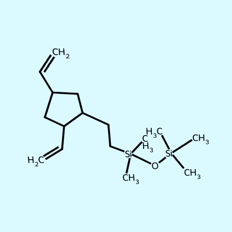 C=CC1CC(C=C)C(CC[Si](C)(C)O[Si](C)(C)C)C1